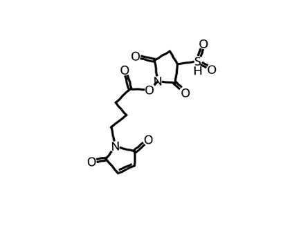 O=C(CCCN1C(=O)C=CC1=O)ON1C(=O)CC([SH](=O)=O)C1=O